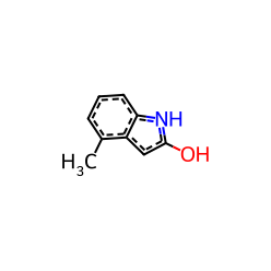 Cc1cccc2[nH]c(O)cc12